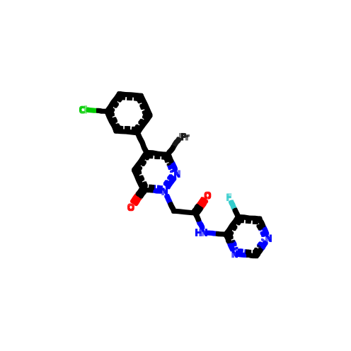 CC(C)c1nn(CC(=O)Nc2ncncc2F)c(=O)cc1-c1cccc(Cl)c1